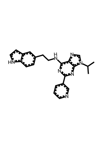 CC(C)n1cnc2c(NCCc3ccc4[nH]ccc4c3)nc(-c3cccnc3)nc21